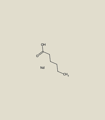 CCCCCC(=O)O.[Nd]